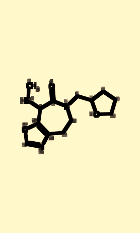 CNC1C(=O)N(CC2CCCO2)CCc2ncoc21